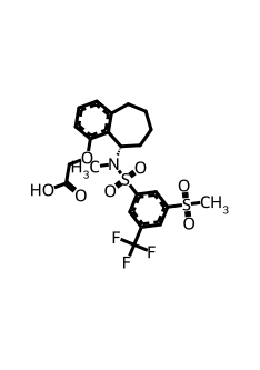 CN([C@H]1CCCCc2cccc(OCC(=O)O)c21)S(=O)(=O)c1cc(C(F)(F)F)cc(S(C)(=O)=O)c1